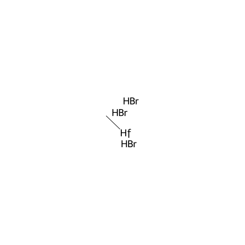 Br.Br.Br.[CH3][Hf]